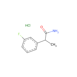 CC(C(N)=O)c1cccc(F)c1.Cl